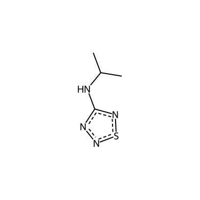 CC(C)Nc1nnsn1